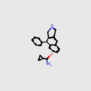 NC(=O)C1CC1.c1ccc(C2c3ccccc3CC3CNCC32)cc1